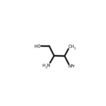 CCCC(C)C(N)CO